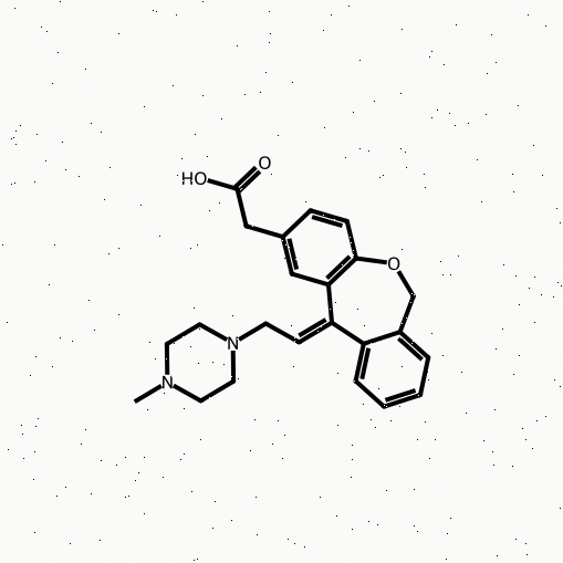 CN1CCN(CC=C2c3ccccc3COc3ccc(CC(=O)O)cc32)CC1